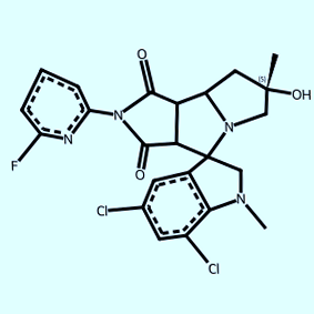 CN1CC2(c3cc(Cl)cc(Cl)c31)C1C(=O)N(c3cccc(F)n3)C(=O)C1C1C[C@](C)(O)CN12